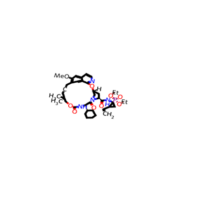 C=CC1CC1(NC(=O)[C@@H]1C[C@@H]2CN1C(=O)[C@H](C1CCCCC1)NC(=O)OCC(C)(C)CCCc1cc3c(nccc3cc1OC)O2)P(=O)(OCC)OCC